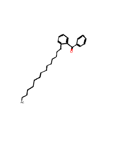 CC(=O)CCCCCCCCCCCCCCc1ccccc1C(=O)c1ccccc1